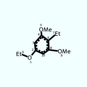 CCOc1cc(OC)c(CC)c(OC)c1